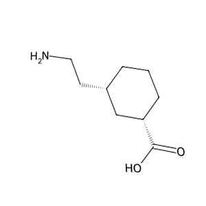 NCC[C@@H]1CCC[C@H](C(=O)O)C1